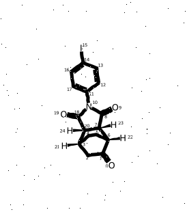 O=C1C[C@H]2CC[C@@H]1[C@H]1C(=O)N(c3ccc(I)cc3)C(=O)[C@@H]21